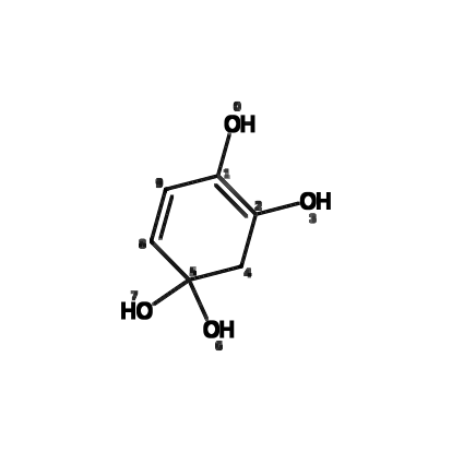 OC1=C(O)CC(O)(O)C=C1